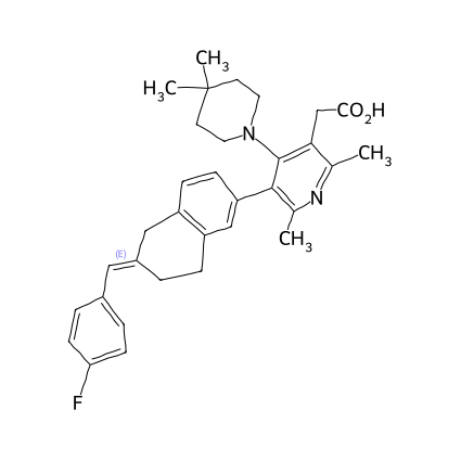 Cc1nc(C)c(-c2ccc3c(c2)CC/C(=C\c2ccc(F)cc2)C3)c(N2CCC(C)(C)CC2)c1CC(=O)O